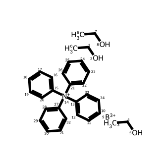 CCO.CCO.CCO.[B+3].c1ccc([N+](c2ccccc2)(c2ccccc2)c2ccccc2)cc1